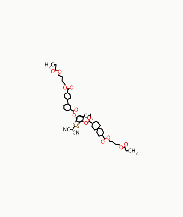 C=CC(=O)OCCCCOC(=O)C1CCC(C2CCCC(C(=O)Oc3cc(C)c(OC(=O)C4CCCC5(CCC(C(=O)OCCCCOC(=O)C=C)CC5)CC4)c4c3SC(C(C#N)C#N)S4)C2)CC1